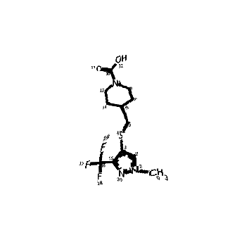 Cn1cc(SCC2CCN(C(=O)O)CC2)c(C(F)(F)F)n1